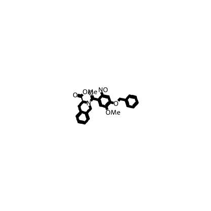 COC(=O)[C@@H]1Cc2ccccc2CN1C(=O)c1cc(OC)c(OCc2ccccc2)cc1N=O